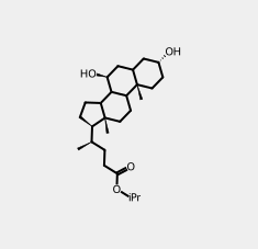 CC(C)OC(=O)CC[C@@H](C)[C@H]1CCC2C3C(CC[C@@]21C)[C@@]1(C)CC[C@@H](O)CC1C[C@@H]3O